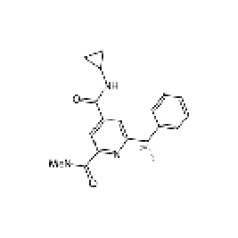 CNC(=O)c1cc(C(=O)NC2CC2)cc([C@@H](C)c2ccccc2)n1